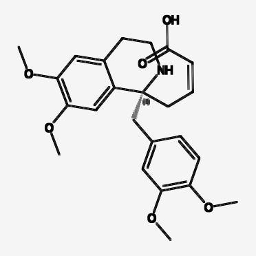 COc1ccc(C[C@@]2(CC=CC(=O)O)NCCc3cc(OC)c(OC)cc32)cc1OC